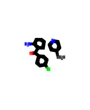 Nc1ccccc1C(=O)c1ccc(Cl)cc1.O=C(O)c1ccncc1